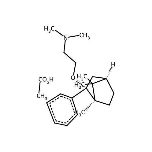 CC(=O)O.CN(C)CCO[C@]1(c2ccccc2)C[C@H]2CC[C@]1(C)C2(C)C